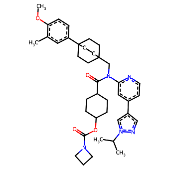 COc1ccc(C23CCC(CN(C(=O)C4CCC(OC(=O)N5CCC5)CC4)c4cc(-c5cnn(C(C)C)c5)ccn4)(CC2)CC3)cc1C